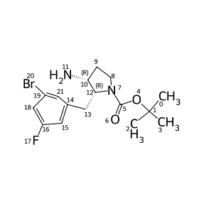 CC(C)(C)OC(=O)N1CC[C@@H](N)[C@H]1Cc1cc(F)cc(Br)c1